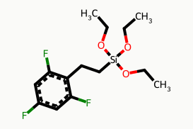 CCO[Si](CCc1c(F)cc(F)cc1F)(OCC)OCC